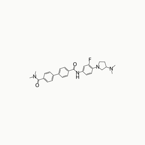 CN(C)C(=O)c1ccc(-c2ccc(C(=O)Nc3ccc(N4CCC(N(C)C)C4)c(F)c3)cc2)cc1